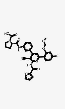 COCOc1cc(Cl)ccc1-c1cc(-c2cccc(NC(=O)[C@H]3CCCN3C(=O)O)c2)c(C#N)c(NC(=O)c2ccco2)n1